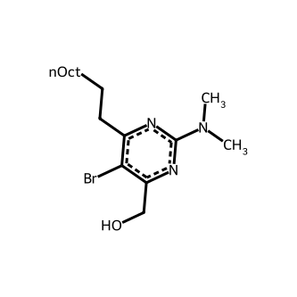 CCCCCCCCCCc1nc(N(C)C)nc(CO)c1Br